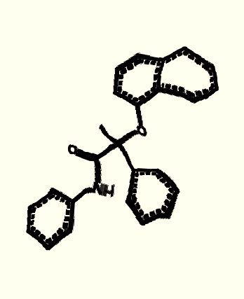 CC(Oc1cccc2ccccc12)(C(=O)Nc1ccccc1)c1ccccc1